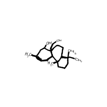 CC1=CCC2C3(C)CCCC(C)(C)C3CCC2(CO)C(O)C1